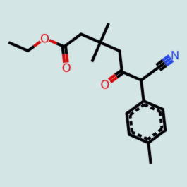 CCOC(=O)CC(C)(C)CC(=O)C(C#N)c1ccc(C)cc1